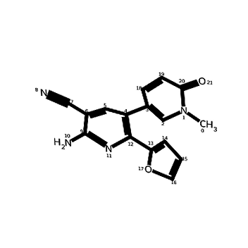 Cn1cc(-c2cc(C#N)c(N)nc2-c2ccco2)ccc1=O